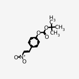 CC(C)(C)OC(=O)Oc1ccc(/C=C/[N+](=O)[O-])cc1